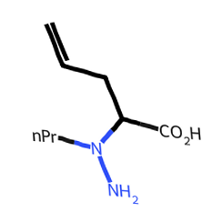 C=CCC(C(=O)O)N(N)CCC